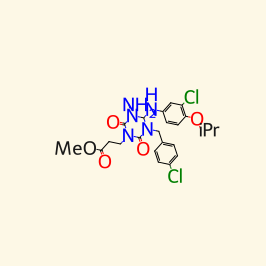 COC(=O)CCN1C(=O)N(N)C(Nc2ccc(OC(C)C)c(Cl)c2)N(Cc2ccc(Cl)cc2)C1=O